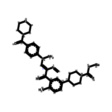 C=N/C(=C\N(N)c1ccc(C(=O)N2CCOCC2)cc1)C(=N)c1cc(C2CCN(C(=O)OC(C)(C)C)CC2)ccc1N